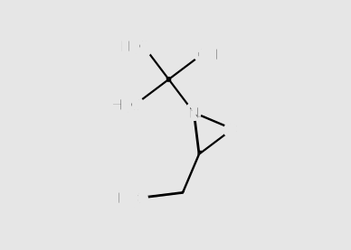 CCC1ON1C(C)(C)C